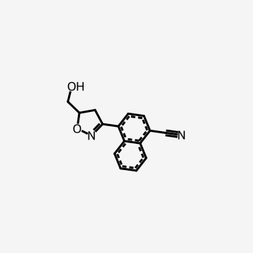 N#Cc1ccc(C2=NOC(CO)C2)c2ccccc12